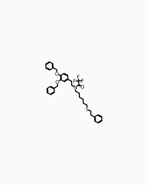 O=C(N(CCCCCCSCCc1ccccc1)CCc1ccc(OCc2ccccc2)c(OCc2ccccc2)c1)C(F)(F)F